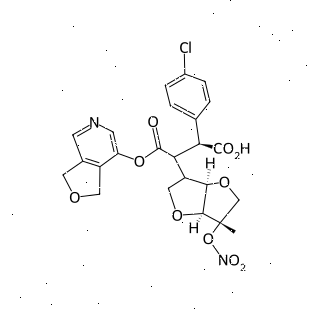 C[C@]1(O[N+](=O)[O-])CO[C@@H]2C(C(C(=O)Oc3cncc4c3COC4)[C@H](C(=O)O)c3ccc(Cl)cc3)CO[C@@H]21